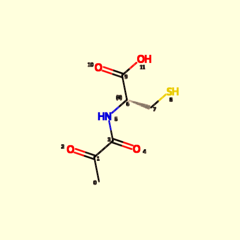 CC(=O)C(=O)N[C@@H](CS)C(=O)O